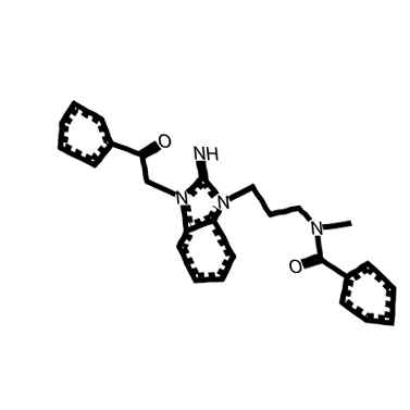 CN(CCCn1c(=N)n(CC(=O)c2ccccc2)c2ccccc21)C(=O)c1ccccc1